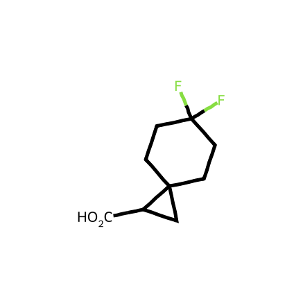 O=C(O)C1CC12CCC(F)(F)CC2